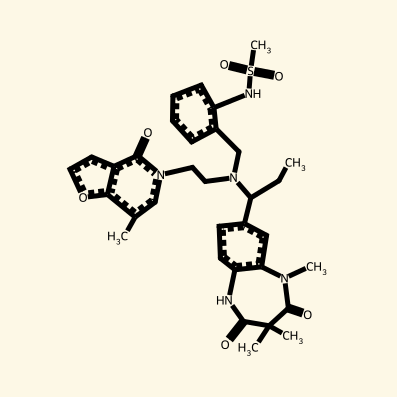 CCC(c1ccc2c(c1)N(C)C(=O)C(C)(C)C(=O)N2)N(CCn1cc(C)c2occc2c1=O)Cc1ccccc1NS(C)(=O)=O